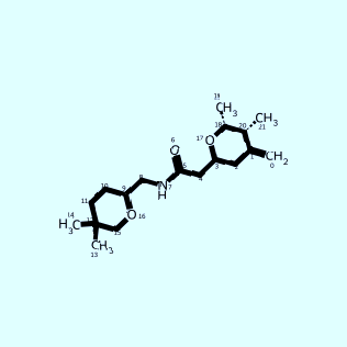 C=C1CC(CC(=O)NCC2CCC(C)(C)CO2)O[C@H](C)[C@@H]1C